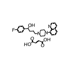 O=C(O)C=CC(=O)O.OC(CCCN1CCN(c2cccc3cccnc23)CC1)c1ccc(F)cc1